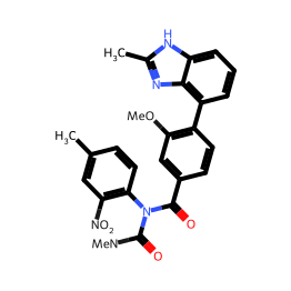 CNC(=O)N(C(=O)c1ccc(-c2cccc3[nH]c(C)nc23)c(OC)c1)c1ccc(C)cc1[N+](=O)[O-]